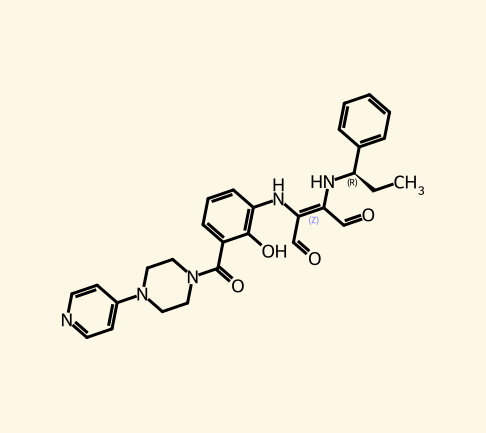 CC[C@@H](N/C(C=O)=C(/C=O)Nc1cccc(C(=O)N2CCN(c3ccncc3)CC2)c1O)c1ccccc1